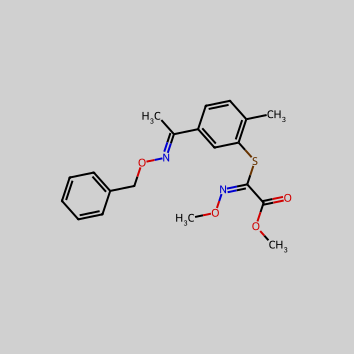 CON=C(Sc1cc(C(C)=NOCc2ccccc2)ccc1C)C(=O)OC